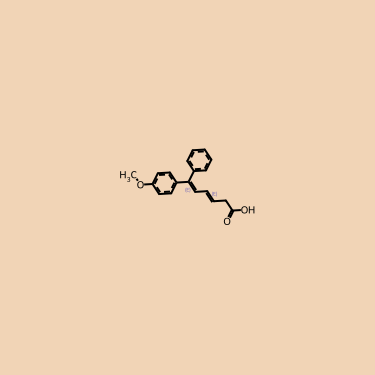 COc1ccc(/C(=C/C=C/CC(=O)O)c2ccccc2)cc1